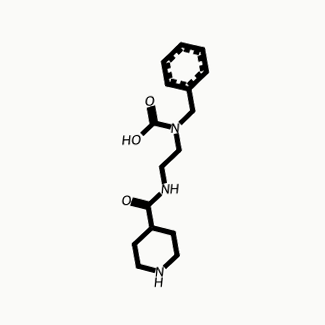 O=C(NCCN(Cc1ccccc1)C(=O)O)C1CCNCC1